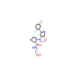 O=C(NCCO)c1cnccc1N1CCOc2cnc(-c3cc(Cl)ccc3F)cc21